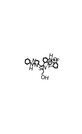 O=S(=O)(Nc1cccc(-c2nc(CCO)sc2-c2ccnc(Nc3ccccc3)n2)c1F)c1c(F)cccc1F